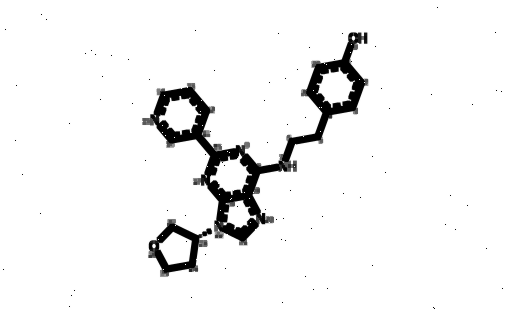 Oc1ccc(CCNc2nc(-c3cccnc3)nc3c2ncn3[C@@H]2CCOC2)cc1